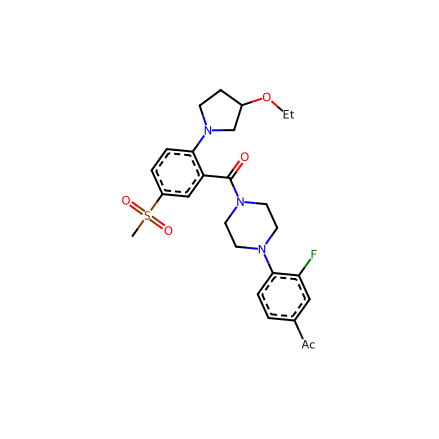 CCOC1CCN(c2ccc(S(C)(=O)=O)cc2C(=O)N2CCN(c3ccc(C(C)=O)cc3F)CC2)C1